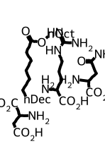 CCCCCCCCCCCCCCCC(=O)OCCCCCCCC.N=C(N)NCCCC(N)C(=O)O.NC(=O)CC(N)C(=O)O.NC(CC(=O)O)C(=O)O